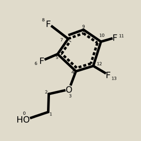 OCCOc1c(F)c(F)[c]c(F)c1F